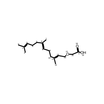 CC(C)=CCCC(C)=CCCC(C)=CCOCC(=O)O